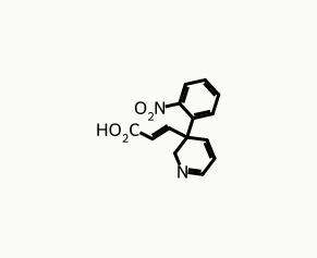 O=C(O)/C=C/C1(c2ccccc2[N+](=O)[O-])C=CC=NC1